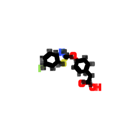 O=C(O)Cc1ccc(Oc2nc3ccc(F)cc3s2)cc1